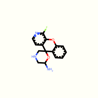 NC1CNCC2(O1)c1ccccc1Oc1c2ccnc1F